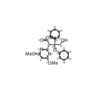 COC(=O)C(c1nc(OC)cc(OC)n1)C(CO)(Oc1ccccc1)c1ccccc1